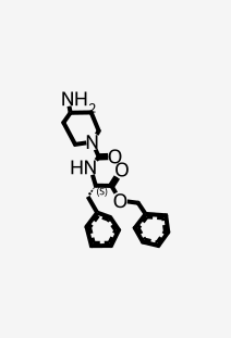 NC1CCN(C(=O)N[C@@H](Cc2ccccc2)C(=O)OCc2ccccc2)CC1